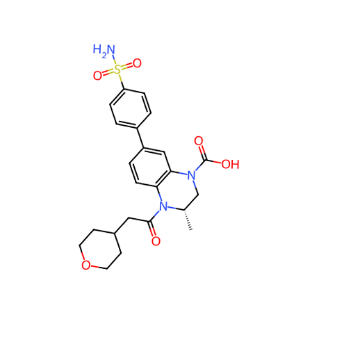 C[C@H]1CN(C(=O)O)c2cc(-c3ccc(S(N)(=O)=O)cc3)ccc2N1C(=O)CC1CCOCC1